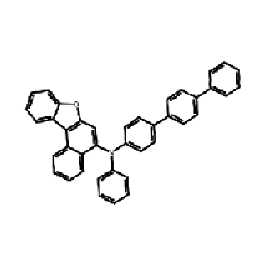 c1ccc(-c2ccc(-c3ccc(N(c4ccccc4)c4cc5oc6ccccc6c5c5ccccc45)cc3)cc2)cc1